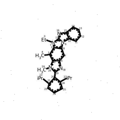 CCn1c2c(C)c3c(cc2n2c4ccccc4nc12)nc(-c1c(C(C)C)cccc1C(C)C)n3C